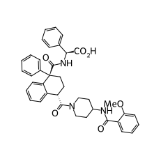 COc1ccccc1C(=O)NC1CCN(C(=O)[C@H]2CC[C@@](C(=O)N[C@H](C(=O)O)c3ccccc3)(c3ccccc3)c3ccccc32)CC1